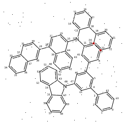 c1ccc(-c2cc(-c3cccc(N(c4ccccc4-c4ccccc4)c4ccc(-c5ccc6ccccc6c5)c5ccccc45)c3)cc(-n3c4ccccc4c4ccccc43)c2)cc1